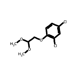 COC(COc1ccc(Cl)cc1Cl)OC